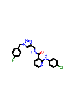 O=C(NCc1cn(Cc2ccc(F)cc2)nn1)c1cccnc1Nc1ccc(Cl)cc1